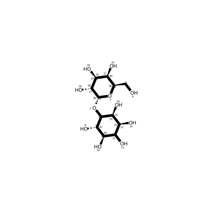 OC[C@H]1O[C@H](OC2[C@@H](O)[C@H](O)C(O)[C@H](O)[C@@H]2O)[C@H](O)[C@@H](O)[C@H]1O